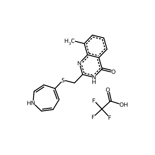 Cc1cccc2c(=O)[nH]c(CSC3=CC=CNC=C3)nc12.O=C(O)C(F)(F)F